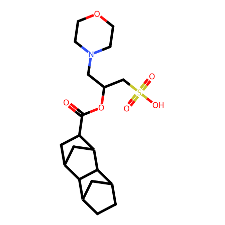 O=C(OC(CN1CCOCC1)CS(=O)(=O)O)C1CC2CC1C1C3CCC(C3)C21